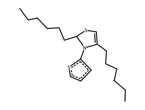 CCCCCCC1=CSC(CCCCCC)N1c1cccs1